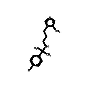 Cc1cncn1CCCNC(C)(C)c1ccc(Cl)cc1